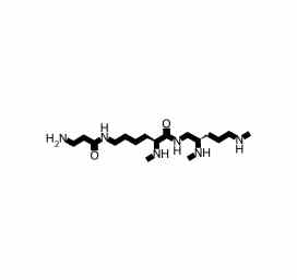 CNCCC[C@@H](CNC(=O)[C@H](CCCCNC(=O)CCN)NC)NC